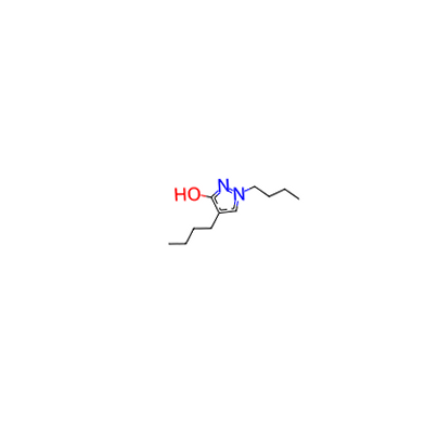 CCCCc1cn(CCCC)nc1O